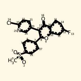 CS(=O)(=O)c1ccc(-c2oc3cc(F)ccc3c(=O)c2-c2ccc(Cl)nc2)cc1